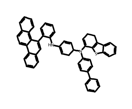 C1=CC(N(C2=CCCc3c2sc2ccccc32)c2ccc(-c3ccccc3)cc2)CC=C1Nc1ccccc1-c1cc2ccccc2c2ccc3ccccc3c12